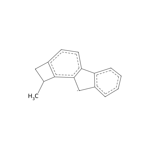 CC1Cc2ccc3c(c21)[CH]c1ccccc1-3